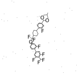 CC1COC(c2ccc(C3CCC(C(F)(F)Oc4ccc(-c5cc(F)c(C(F)F)c(F)c5)c(F)c4)CC3)c(F)c2)OC1